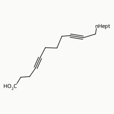 CCCCCCCCC#CCCCC#CCCC(=O)O